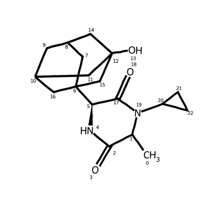 CC1C(=O)N[C@@H](C23CC4CC(CC(O)(C4)C2)C3)C(=O)N1C1CC1